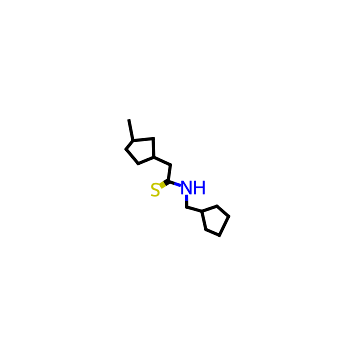 CC1CCC(CC(=S)NCC2CCCC2)C1